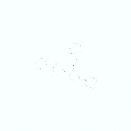 Cc1cc(-c2ncc(-c3ccccc3)cc2C=Cc2ccccc2)cnc1-c1cccnc1